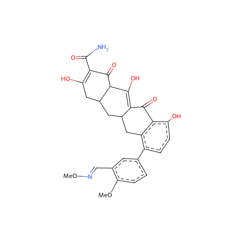 CO/N=C/c1cc(-c2ccc(O)c3c2CC2CC4CC(O)=C(C(N)=O)C(=O)C4C(O)=C2C3=O)ccc1OC